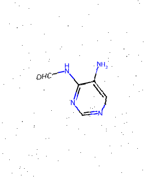 Nc1cncnc1NC=O